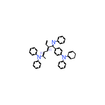 C=C/C(=C\C=C(/C)N(c1ccccc1)c1ccccc1)C(=Nc1ccccc1)c1ccc(N(C2=CCCC=C2)c2ccccc2)cc1